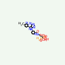 Cc1ccc(-c2nn(-c3cccc(C(=O)NCCCC(O)([PH2]=O)P(=O)(O)O)c3)c3ncnc(N)c23)cc1